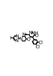 N#Cc1n[nH]c(=O)c(-c2ccc(Cl)c(Cl)c2)c1OC1CCN(c2ncc(I)cn2)CC1